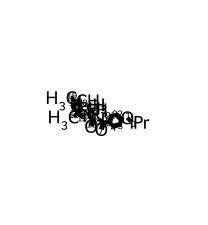 CC(C)Oc1ccc(C(=O)NC(=O)N(S)CC(C)(C)CN(C)C)cc1